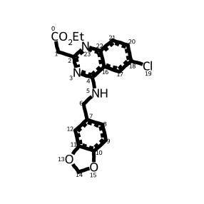 CCOC(=O)Cc1nc(NCc2ccc3c(c2)OCO3)c2cc(Cl)ccc2n1